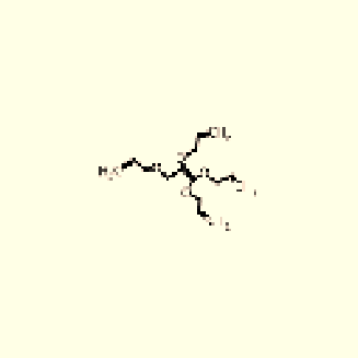 C=CCOCC(OCC=C)=C(OCC=C)OCC=C